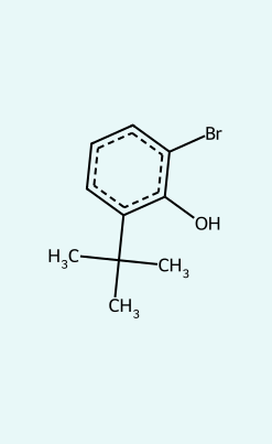 CC(C)(C)c1cccc(Br)c1O